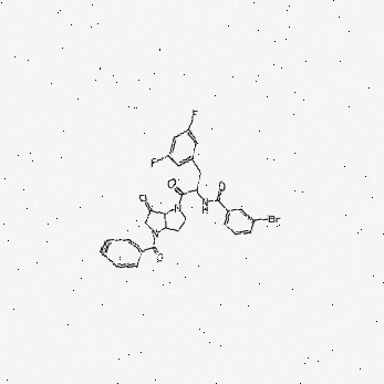 O=C(NC(Cc1cc(F)cc(F)c1)C(=O)N1CCC2C1C(=O)CN2C(=O)c1ccccc1)c1cccc(Br)c1